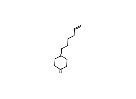 C=CCCCCN1CCNCC1